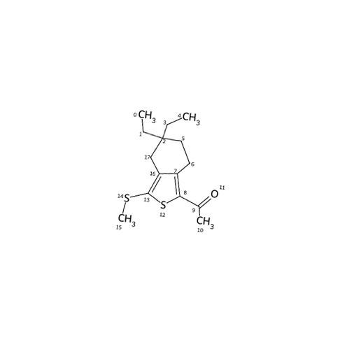 CCC1(CC)CCc2c(C(C)=O)sc(SC)c2C1